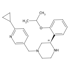 CC(C)Oc1ccccc1[C@@H]1CN(Cc2ccc(C3CC3)nc2)CCN1